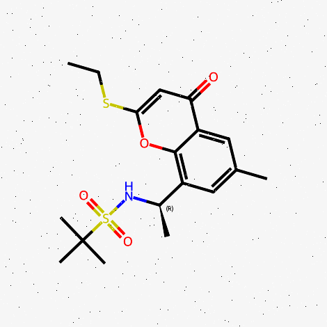 CCSc1cc(=O)c2cc(C)cc([C@@H](C)NS(=O)(=O)C(C)(C)C)c2o1